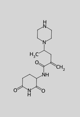 C=C(CC(C)N1CCNCC1)C(=O)NC1CCC(=O)NC1=O